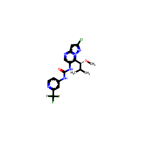 CO[C@@H](c1c(NC(=O)Nc2ccnc(C(F)(F)F)c2)cnc2cc(Cl)nn12)C(C)C